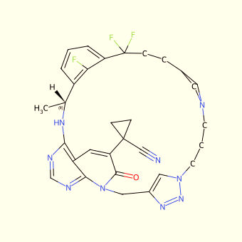 C[C@H]1Nc2ncnc3c2cc(C2(C#N)CC2)c(=O)n3Cc2cn(nn2)CCCN2CC(CCC(F)(F)c3cccc1c3F)C2